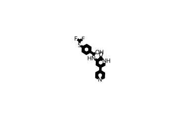 O=c1[nH]cc(-c2ccncc2)cc1NC(O)c1ccc(SC(F)F)cc1